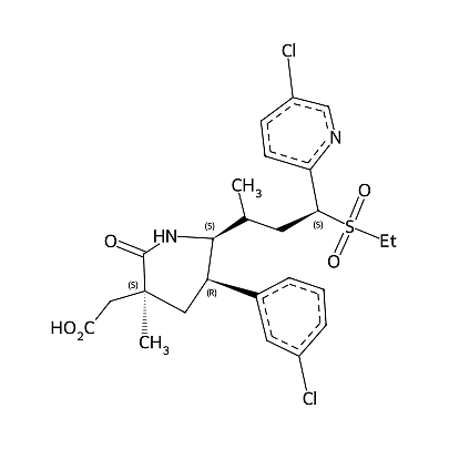 CCS(=O)(=O)[C@@H](CC(C)[C@@H]1NC(=O)[C@](C)(CC(=O)O)C[C@@H]1c1cccc(Cl)c1)c1ccc(Cl)cn1